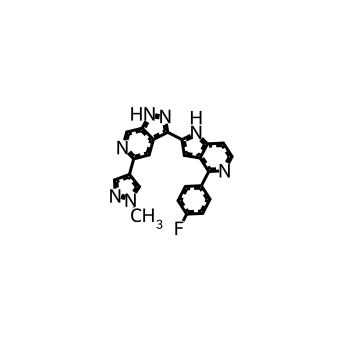 Cn1cc(-c2cc3c(-c4cc5c(-c6ccc(F)cc6)nccc5[nH]4)n[nH]c3cn2)cn1